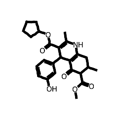 COC(=O)C1C(=O)C2=C(CC1C)NC(C)=C(C(=O)OC1CCCC1)C2c1cccc(O)c1